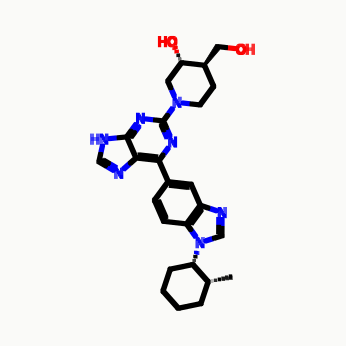 C[C@@H]1CCCC[C@@H]1n1cnc2cc(-c3nc(N4CC[C@H](CO)[C@@H](O)C4)nc4[nH]cnc34)ccc21